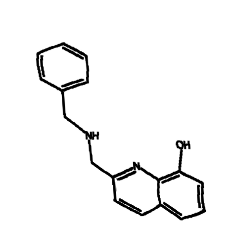 Oc1cccc2ccc(CNCc3ccccc3)nc12